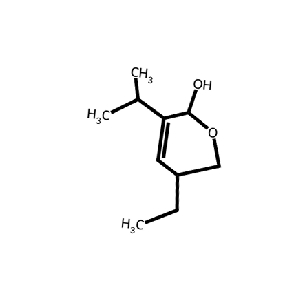 CCC1C=C(C(C)C)C(O)OC1